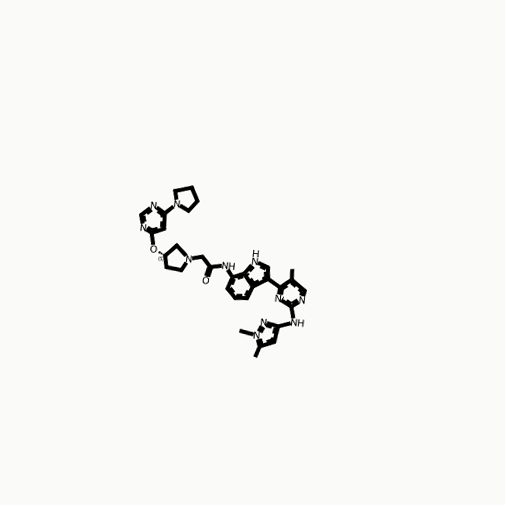 Cc1cnc(Nc2cc(C)n(C)n2)nc1-c1c[nH]c2c(NC(=O)CN3CC[C@H](Oc4cc(N5CCCC5)ncn4)C3)cccc12